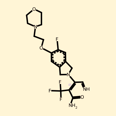 N=C/C(=C(\C(N)=O)C(F)(F)F)N1Cc2cc(F)c(OCCN3CCOCC3)cc2C1